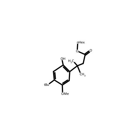 CCCCCCOC(=O)CC(C)(C)c1cc(OC)c(C(C)(C)C)cc1O